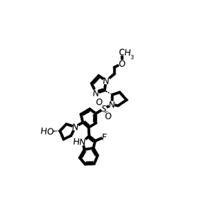 COCCn1ccnc1[C@@H]1CCCN1S(=O)(=O)c1ccc(N2CC[C@H](O)C2)c(-c2[nH]c3ccccc3c2F)c1